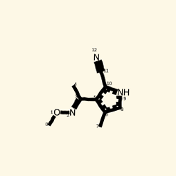 CON=C(C)c1c(C)c[nH]c1C#N